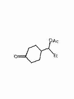 CCC(OC(C)=O)C1CCC(=O)CC1